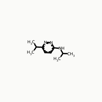 CC(C)Nc1ccc(C(C)C)nn1